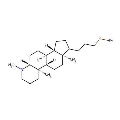 CC(C)SCCCC1CC[C@H]2[C@@H]3CC[C@H]4N(C)CCC[C@]4(C)[C@H]3CC[C@]12C